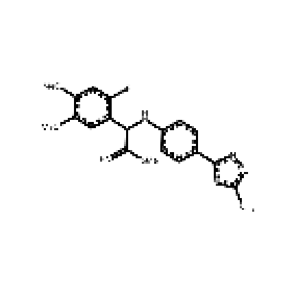 COc1cc(F)c(C(Nc2ccc(-c3noc(C)n3)cc2)C(=N)SC)cc1OC